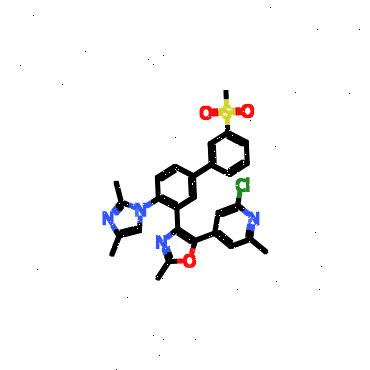 Cc1cc(-c2oc(C)nc2-c2cc(-c3cccc(S(C)(=O)=O)c3)ccc2-n2cc(C)nc2C)cc(Cl)n1